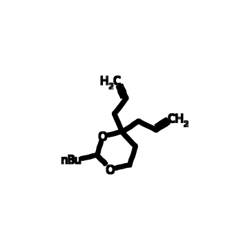 C=CCC1(CC=C)CCOC(CCCC)O1